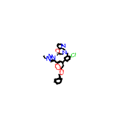 CCn1cc(CCC(CC(=O)OCc2ccccc2)c2ccc(Cl)c(CN3Cc4ncccc4O[C@H](C)C3)c2)nn1